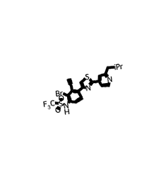 C#Cc1c(-c2csc(-c3ccnc(CC(C)C)c3)n2)ccc(NS(=O)(=O)C(F)(F)F)c1Br